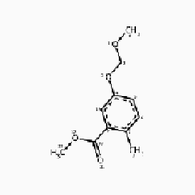 COCOc1ccc(C)c(C(=O)OC)c1